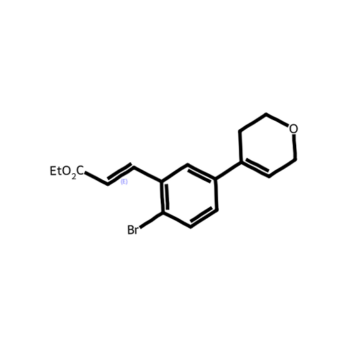 CCOC(=O)/C=C/c1cc(C2=CCOCC2)ccc1Br